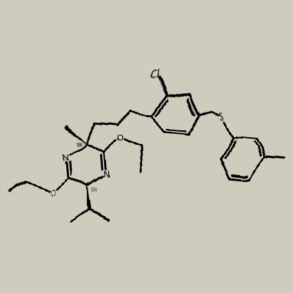 CCOC1=N[C@](C)(CCCc2ccc(Sc3cccc(C)c3)cc2Cl)C(OCC)=N[C@H]1C(C)C